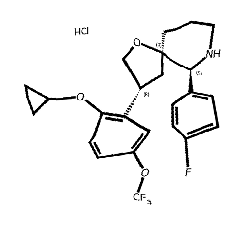 Cl.Fc1ccc([C@@H]2NCCC[C@@]23C[C@H](c2cc(OC(F)(F)F)ccc2OC2CC2)CO3)cc1